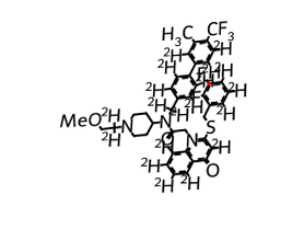 [2H]c1c([2H])c(F)c(F)c(CSc2c([2H])c(=O)c3c([2H])c([2H])c([2H])c([2H])c3n2CC(=O)N(C2CCN(C([2H])([2H])COC)CC2)C([2H])([2H])c2c([2H])c([2H])c(-c3c([2H])c([2H])c(C(F)(F)F)c(C)c3[2H])c([2H])c2[2H])c1[2H]